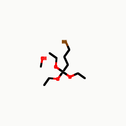 CCO[Si](CCCS)(OCC)OCC.CO